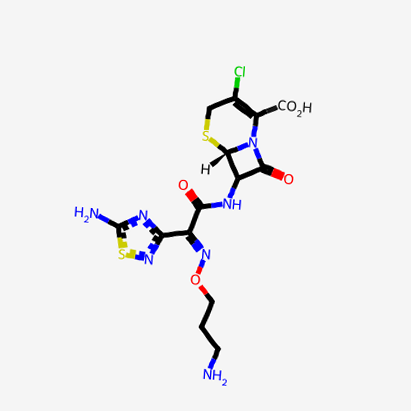 NCCCON=C(C(=O)NC1C(=O)N2C(C(=O)O)=C(Cl)CS[C@@H]12)c1nsc(N)n1